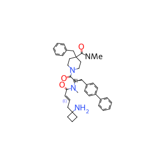 CNC(=O)C1(Cc2ccccc2)CCN(C(=O)[C@@H](Cc2ccc(-c3ccccc3)cc2)N(C)C(=O)/C=C/CC2(N)CCC2)CC1